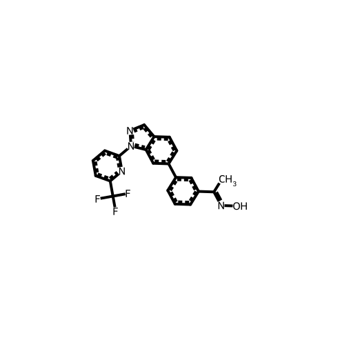 C/C(=N\O)c1cccc(-c2ccc3cnn(-c4cccc(C(F)(F)F)n4)c3c2)c1